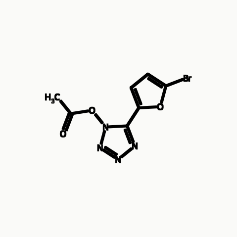 CC(=O)On1nnnc1-c1ccc(Br)o1